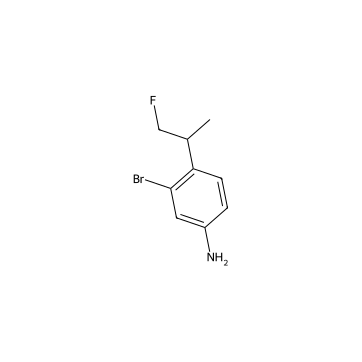 CC(CF)c1ccc(N)cc1Br